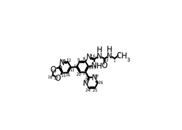 CCNC(=O)Nc1nc2cc(-c3cnc4c(c3)OCO4)cc(-c3ncccn3)c2[nH]1